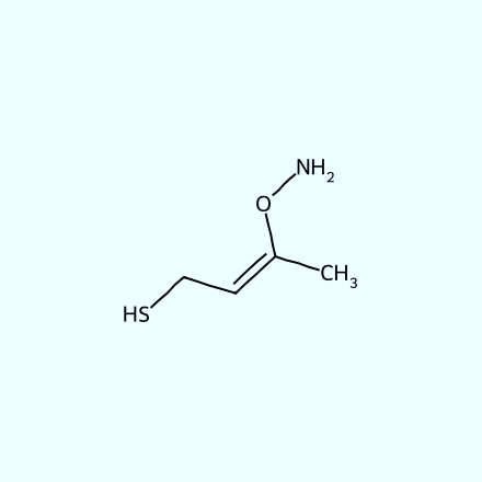 C/C(=C/CS)ON